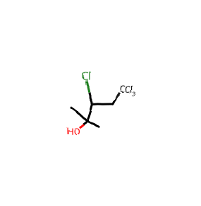 CC(C)(O)C(Cl)CC(Cl)(Cl)Cl